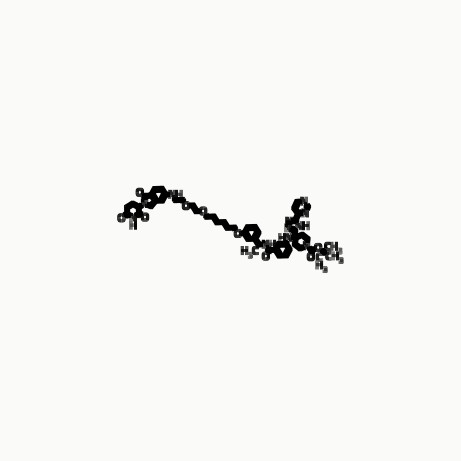 C[C@@H](NC(=O)c1cccc(NC2(c3nnc(-c4ccncn4)[nH]3)CCN(C(=O)OC(C)(C)C)CC2)c1)c1cccc(OCCCCCCOCCOCCNc2ccc3c(c2)CN(C2CCC(=O)NC2=O)C3=O)c1